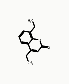 CCc1cc(=O)oc2c(CC)cccc12